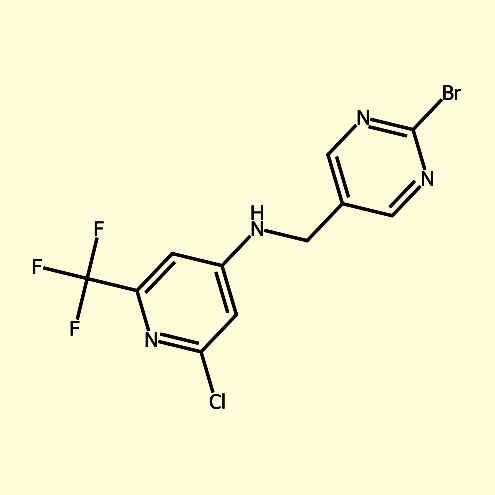 FC(F)(F)c1cc(NCc2cnc(Br)nc2)cc(Cl)n1